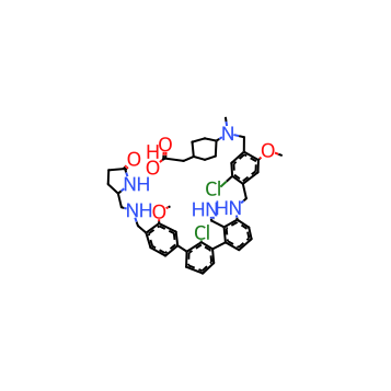 COc1cc(-c2cccc(-c3cccc(NCc4cc(OC)c(CN(C)C5CCC(CC(=O)O)CC5)cc4Cl)c3C=N)c2Cl)ccc1CNCC1CCC(=O)N1